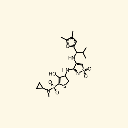 Cc1cc([C@H](NC2=CS(=O)(=O)N=C2NC2CSC(S(=O)(=O)N(C)C3CC3)=C2O)C(C)C)oc1C